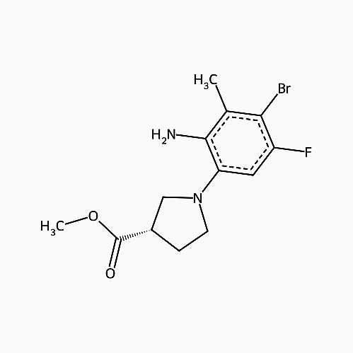 COC(=O)[C@H]1CCN(c2cc(F)c(Br)c(C)c2N)C1